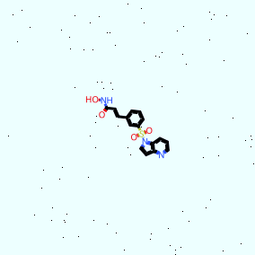 O=C(C=Cc1cccc(S(=O)(=O)n2ccc3ncccc32)c1)NO